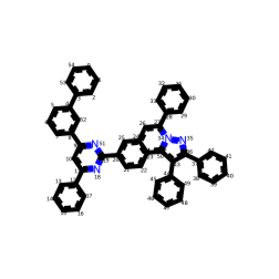 c1ccc(-c2cccc(-c3cc(-c4ccccc4)nc(-c4ccc5c(c4)cc(-c4ccccc4)n4nc(-c6ccccc6)c(-c6ccccc6)c54)n3)c2)cc1